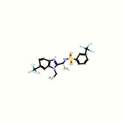 CCn1c([C@@H](C)NS(=O)(=O)c2cccc(C(F)(F)F)c2)nc2ccc(C(F)(F)F)cc21